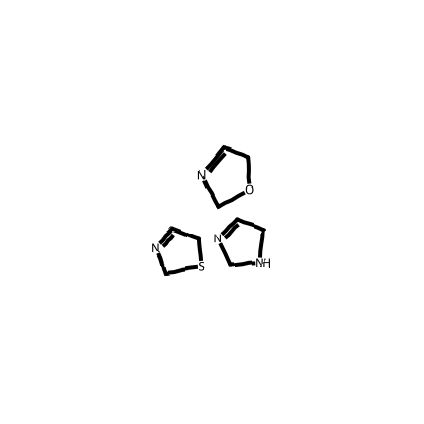 C1=NCNC1.C1=NCOC1.C1=NCSC1